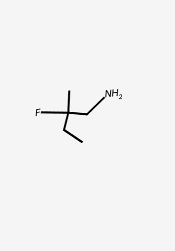 CCC(C)(F)CN